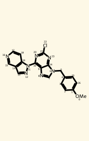 COc1ccc(Cn2cnc3c(-n4ncc5cnccc54)nc(Cl)nc32)cc1